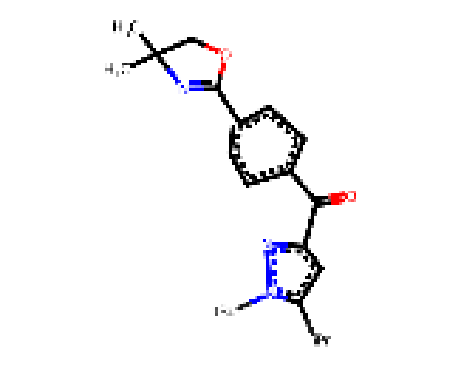 CC(C)c1cc(C(=O)c2ccc(C3=NC(C)(C)CO3)cc2)nn1C(C)(C)C